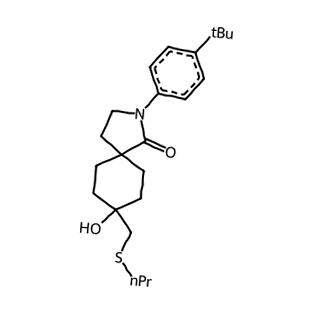 CCCSCC1(O)CCC2(CCN(c3ccc(C(C)(C)C)cc3)C2=O)CC1